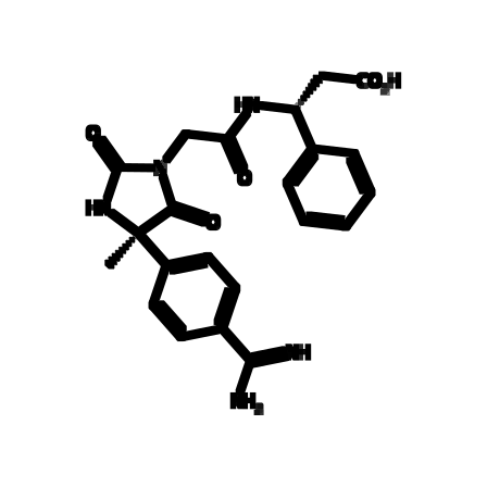 C[C@]1(c2ccc(C(=N)N)cc2)NC(=O)N(CC(=O)N[C@H](CC(=O)O)c2ccccc2)C1=O